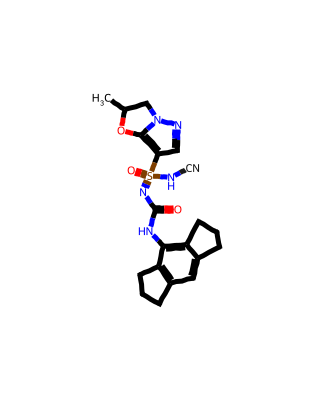 CC1Cn2ncc(S(=O)(=NC(=O)Nc3c4c(cc5c3CCC5)CCC4)NC#N)c2O1